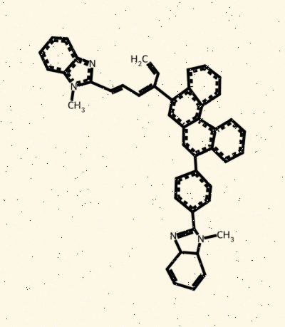 C=C/C(=C\C=C\c1nc2ccccc2n1C)c1cc2cc(-c3ccc(C4=NC5C=CC=CC5N4C)cc3)c3ccccc3c2c2ccccc12